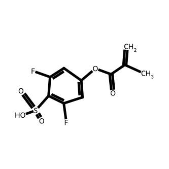 C=C(C)C(=O)Oc1cc(F)c(S(=O)(=O)O)c(F)c1